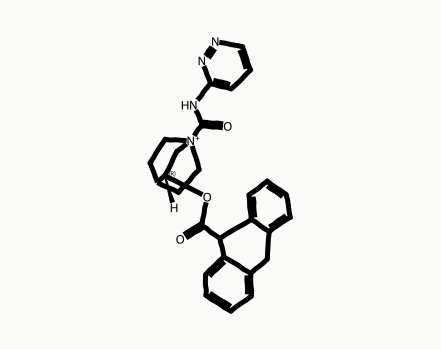 O=C(O[C@H]1C[N+]2(C(=O)Nc3cccnn3)CCC1CC2)C1c2ccccc2Cc2ccccc21